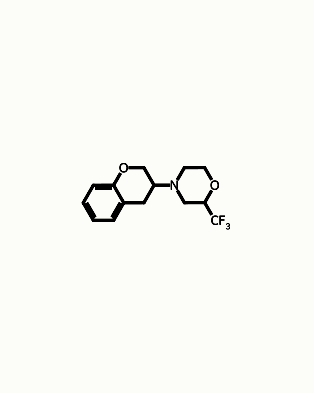 FC(F)(F)C1CN(C2COc3ccccc3C2)CCO1